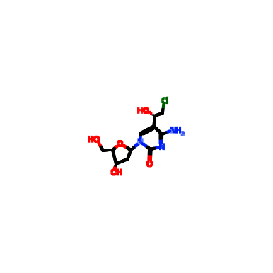 Nc1nc(=O)n([C@H]2C[C@@H](O)[C@@H](CO)O2)cc1[C@H](O)CCl